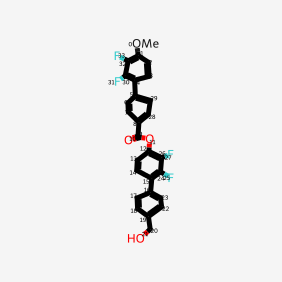 COc1ccc(-c2ccc(C(=O)Oc3ccc(-c4ccc(CO)cc4)c(F)c3F)cc2)c(F)c1F